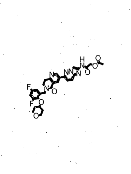 CC(=O)OCC(=O)Nc1cn2nc(-c3cnc4c(c3)C(=O)N(Cc3cc(F)cc(F)c3OC3CCOCC3)CC4)ccc2n1